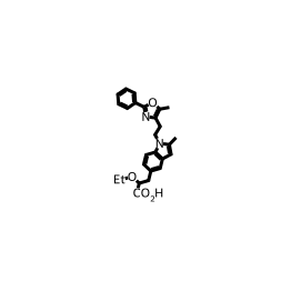 CCOC(Cc1ccc2c(c1)cc(C)n2CCc1nc(-c2ccccc2)oc1C)C(=O)O